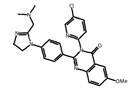 COc1ccc2nc(-c3ccc(N4CCN=C4CN(C)C)cc3)n(-c3ccc(Cl)cn3)c(=O)c2c1